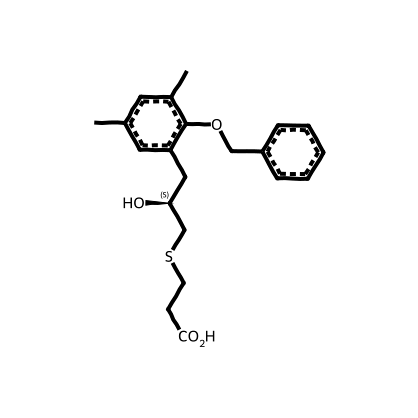 Cc1cc(C)c(OCc2ccccc2)c(C[C@H](O)CSCCC(=O)O)c1